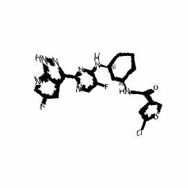 O=C(N[C@@H]1CCC[C@H](Nc2nc(-c3n[nH]c4ncc(F)cc34)ncc2F)C1)c1csc(Cl)c1